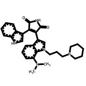 CN(C)c1cccc2c(C3=C(c4c[nH]c5ccccc45)C(=O)NC3=O)cn(CCCN3CCCCC3)c12